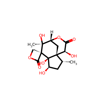 C[C@@H]1C[C@@H](O)[C@@]2(O)[C@@]13C[C@@H](OC(=O)[C@H]3O)[C@](C)(O)[C@@]21COC1=O